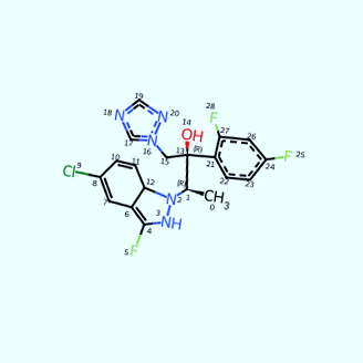 C[C@@H](N1NC(F)=C2C=C(Cl)C=CC21)[C@](O)(Cn1cncn1)c1ccc(F)cc1F